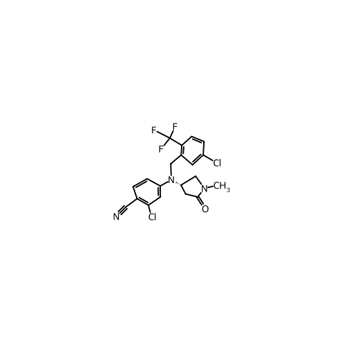 CN1C[C@@H](N(Cc2cc(Cl)ccc2C(F)(F)F)c2ccc(C#N)c(Cl)c2)CC1=O